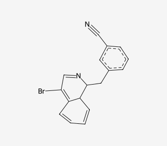 N#Cc1cccc(CC2N=CC(Br)=C3C=CC=CC32)c1